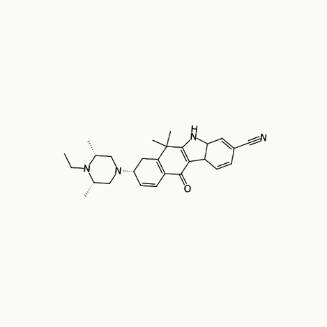 CCN1[C@H](C)CN([C@H]2C=CC3=C(C2)C(C)(C)C2=C(C3=O)C3C=CC(C#N)=CC3N2)C[C@@H]1C